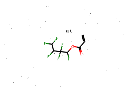 C=CC(=O)OC(F)C(F)(F)C(F)C(F)F.[SiH4]